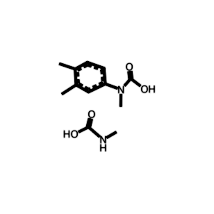 CNC(=O)O.Cc1ccc(N(C)C(=O)O)cc1C